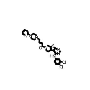 O=C(C=CCN1CCN(c2ccccn2)CC1)N1CCc2c(sc3ncnc(Nc4ccc(Cl)c(Cl)c4)c23)C1